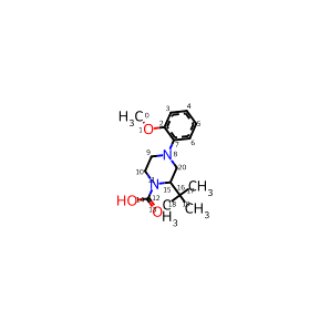 COc1ccccc1N1CCN(C(=O)O)C(C(C)(C)C)C1